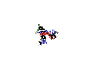 CC(C)CN(C[C@@H](O)[C@H](Cc1cc(F)cc(F)c1)NC(=O)O[C@H]1CO[C@H]2OCC[C@@H](NC(C)C)C21)S(=O)(=O)c1ccc2nc(NC3CC3)sc2c1